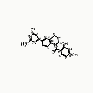 Cc1nc(Cl)cc(-c2ccc3c(c2)CCCN3C(=O)c2ccc(O)cc2O)n1